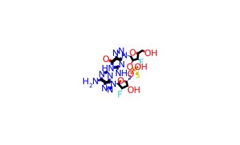 Nc1nc2c(nnn2[C@@H]2OC(CO)[C@@H](F)[C@H]2OP(O)(=S)OC[C@H]2O[C@@H](n3nnc4c(N)ncnc43)[C@@H](F)[C@@H]2O)c(=O)[nH]1